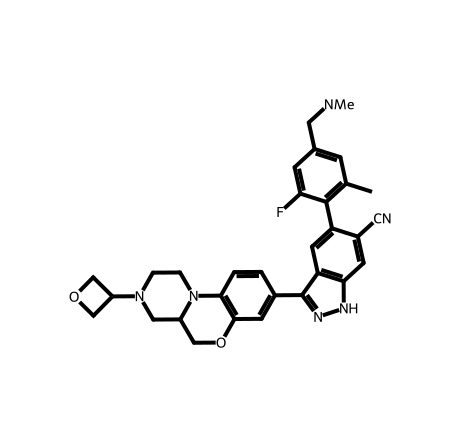 CNCc1cc(C)c(-c2cc3c(-c4ccc5c(c4)OCC4CN(C6COC6)CCN54)n[nH]c3cc2C#N)c(F)c1